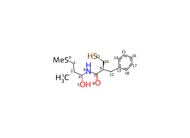 CSC[C@@H](C)C(O)NC(=O)[C@@H](CS)Cc1ccccc1